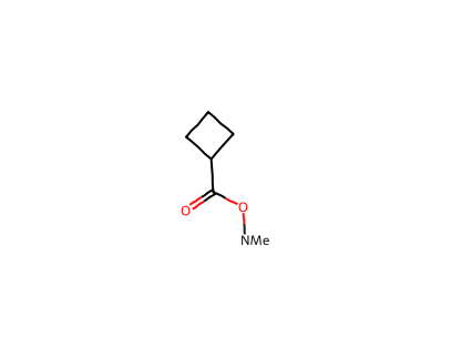 CNOC(=O)C1CCC1